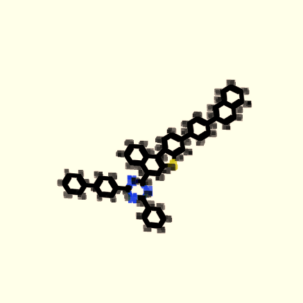 c1ccc(-c2ccc(-c3nc(-c4ccccc4)nc(-c4cc5sc6cc(-c7ccc(-c8ccc9ccccc9c8)cc7)ccc6c5c5ccccc45)n3)cc2)cc1